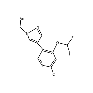 CC(=O)Cn1cc(-c2cnc(Cl)cc2OC(F)F)cn1